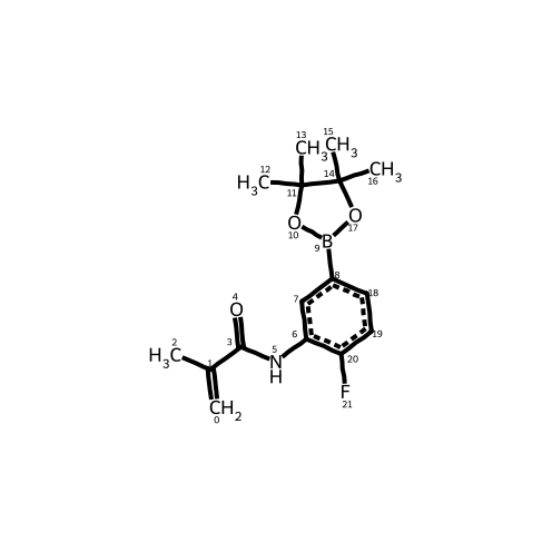 C=C(C)C(=O)Nc1cc(B2OC(C)(C)C(C)(C)O2)ccc1F